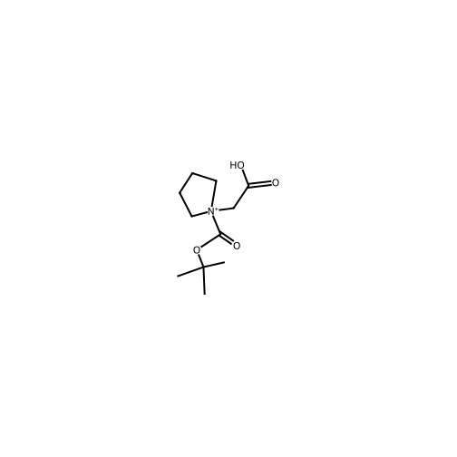 CC(C)(C)OC(=O)[N+]1(CC(=O)O)CCCC1